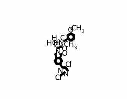 COc1cccc(C(C)(C)NC(=O)[C@@H](CO)N2Cc3ccc(-c4nc(Cl)ncc4Cl)cc3C2=O)c1